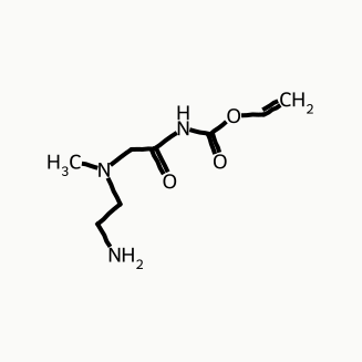 C=COC(=O)NC(=O)CN(C)CCN